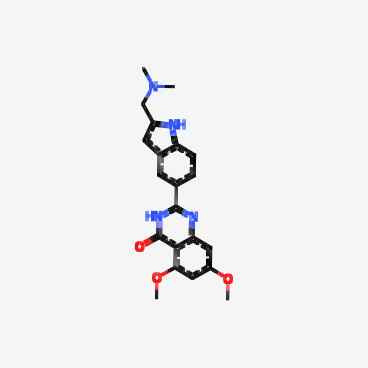 COc1cc(OC)c2c(=O)[nH]c(-c3ccc4[nH]c(CN(C)C)cc4c3)nc2c1